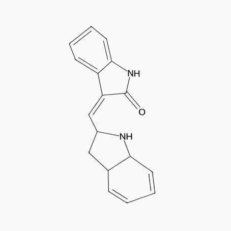 O=C1Nc2ccccc2C1=CC1CC2C=CC=CC2N1